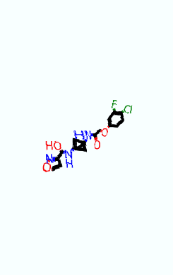 O=C(COc1ccc(Cl)c(F)c1)NC12CC(NC(O)c3ccon3)(C1)C2